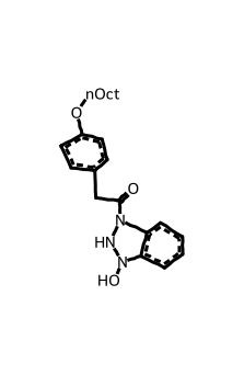 CCCCCCCCOc1ccc(CC(=O)N2NN(O)c3ccccc32)cc1